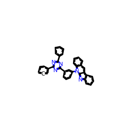 c1ccc(-c2nc(-c3ccccc3)nc(-c3cccc(-n4c5nc6ccccc6c-5cc5ccccc54)c3)n2)cc1